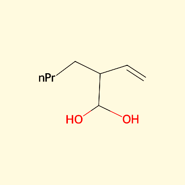 C=CC(CCCC)C(O)O